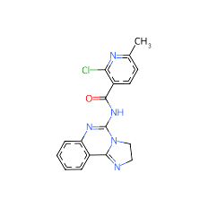 Cc1ccc(C(=O)NC2=Nc3ccccc3C3=NCCN23)c(Cl)n1